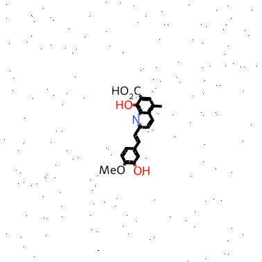 COc1ccc(/C=C/c2ccc3c(C)cc(C(=O)O)c(O)c3n2)cc1O